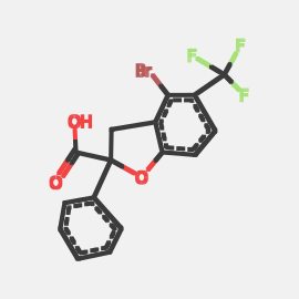 O=C(O)C1(c2ccccc2)Cc2c(ccc(C(F)(F)F)c2Br)O1